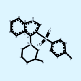 Cc1ccc(S(=O)(=O)c2cnc3ccccc3c2N2CCCC(C)C2)cc1